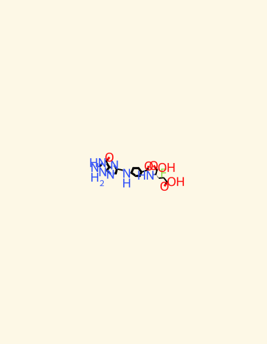 Nc1nc2ncc(CNc3ccc(C(=O)N[C@@H](CC(F)C(=O)O)C(=O)O)cc3)nc2c(=O)[nH]1